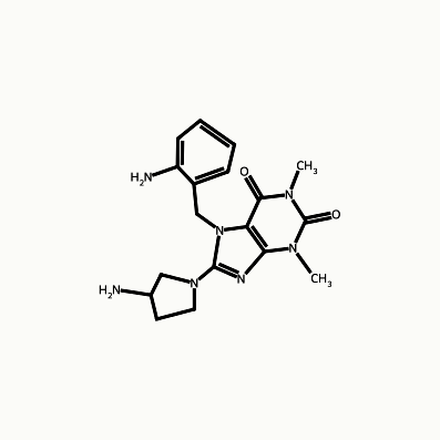 Cn1c(=O)c2c(nc(N3CCC(N)C3)n2Cc2ccccc2N)n(C)c1=O